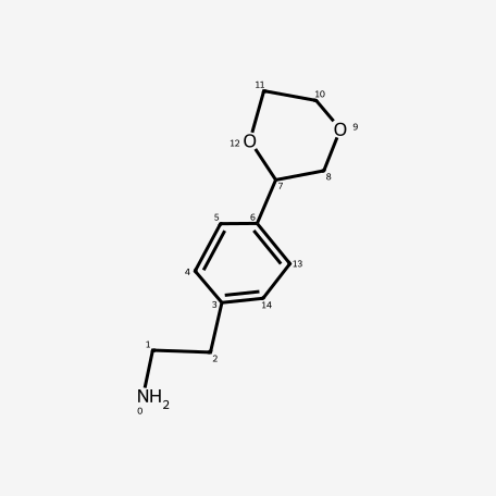 NCCc1ccc(C2COCCO2)cc1